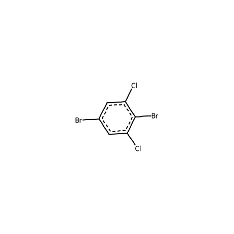 Clc1cc(Br)cc(Cl)c1Br